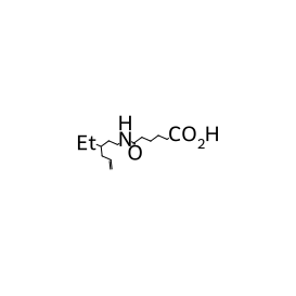 C=CCC(CC)CCNC(=O)CCCCC(=O)O